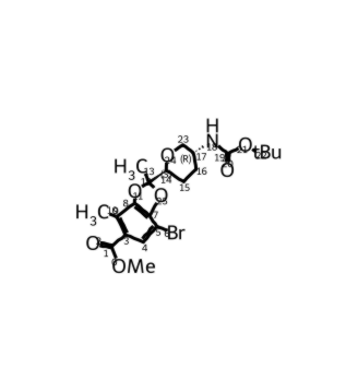 COC(=O)c1cc(Br)c2c(c1C)OC(C)([C@@H]1CC[C@@H](NC(=O)OC(C)(C)C)CO1)O2